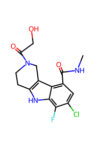 CNC(=O)c1cc(Cl)c(F)c2[nH]c3c(c12)CN(C(=O)CO)CC3